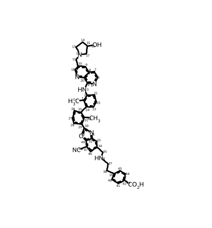 Cc1c(Nc2nccc3cc(CN4CCC(O)C4)cnc23)cccc1-c1cccc(-c2nc3cc(CNCCc4ccc(C(=O)O)cc4)cc(C#N)c3o2)c1C